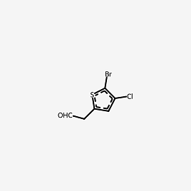 O=CCc1cc(Cl)c(Br)s1